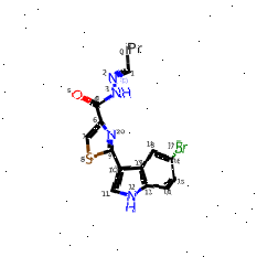 CC(C)/C=N/NC(=O)c1csc(-c2c[nH]c3ccc(Br)cc23)n1